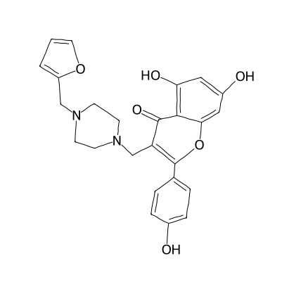 O=c1c(CN2CCN(Cc3ccco3)CC2)c(-c2ccc(O)cc2)oc2cc(O)cc(O)c12